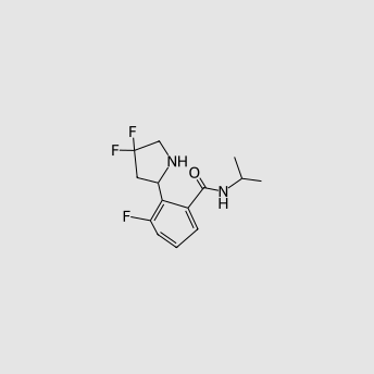 CC(C)NC(=O)c1cccc(F)c1C1CC(F)(F)CN1